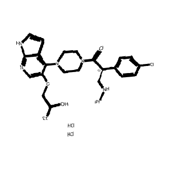 CCC(O)COc1cnc2[nH]ccc2c1N1CCN(C(=O)[C@H](CNC(C)C)c2ccc(Cl)cc2)CC1.Cl.Cl